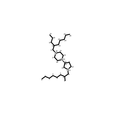 CCCCCCC(C)CN1CC[C@H](N2CCN(CC(CCC)CCCCC)CC2)C1